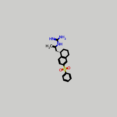 C=C(C[C@@H]1CCCc2cc(S(=O)(=O)c3ccccc3)ccc21)NC(=N)N